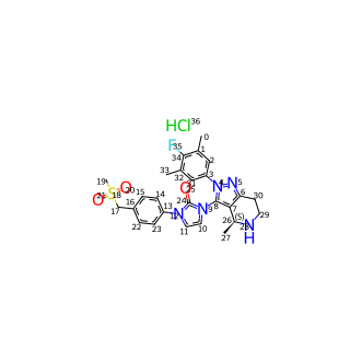 Cc1cc(-n2nc3c(c2-n2ccn(-c4ccc(CS(C)(=O)=O)cc4)c2=O)[C@H](C)NCC3)cc(C)c1F.Cl